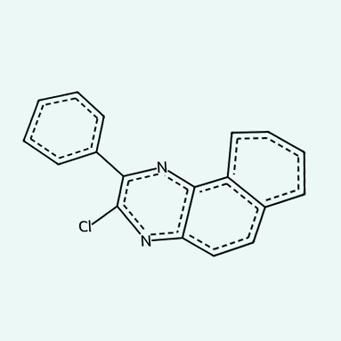 Clc1nc2ccc3ccccc3c2nc1-c1ccccc1